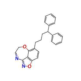 C1=Nc2noc3ccc(CCCC(c4ccccc4)c4ccccc4)c(c23)OC1